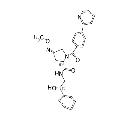 CON=C1C[C@@H](C(=O)NC[C@@H](O)c2ccccc2)N(C(=O)c2ccc(-c3ccccn3)cc2)C1